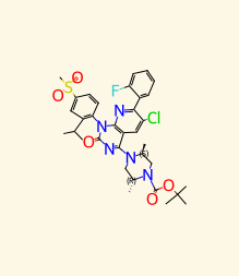 CC(C)c1cc(S(C)(=O)=O)ccc1-n1c(=O)nc(N2C[C@@H](C)N(C(=O)OC(C)(C)C)C[C@@H]2C)c2cc(Cl)c(-c3ccccc3F)nc21